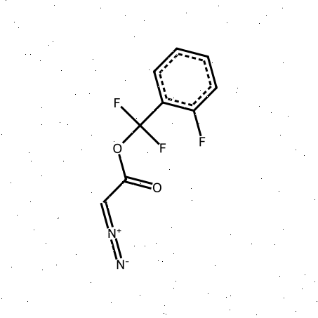 [N-]=[N+]=CC(=O)OC(F)(F)c1ccccc1F